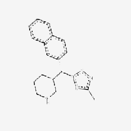 Cc1nnn([C@@H](c2ccc3ccccc3c2)[C@@H]2CCCNC2)n1